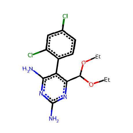 CCOC(OCC)c1nc(N)nc(N)c1-c1ccc(Cl)cc1Cl